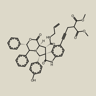 C=CCNC(=O)[C@H]1[C@@H]2C(=O)O[C@@H](c3ccccc3)C(c3ccccc3)N2[C@@H](c2ccc(O)cc2)[C@]12C(=O)Nc1ccc(C#CCC(C(=O)OC)C(=O)OC)cc12